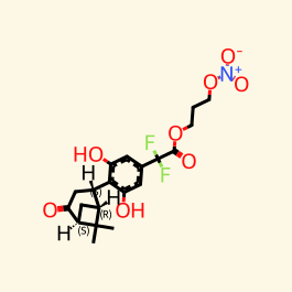 CC1(C)[C@@H]2C[C@@H]1[C@@H](c1c(O)cc(C(F)(F)C(=O)OCCCO[N+](=O)[O-])cc1O)CC2=O